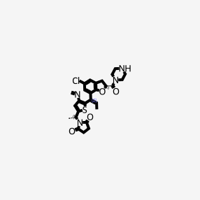 C=Nc1cc([C@@H](C)N2C(=O)CCC2=O)sc1/C(=C\C)c1cc(Cl)cc2c1O[C@@H](C(=O)N1CCNCC1)C2